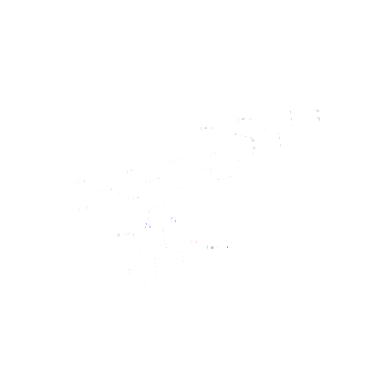 CCCCCCCCC1(CCCCCCCC)c2cc(-c3ccccc3)ccc2-c2ccc(-c3ccc4c5ccc(-c6ccccc6)cc5c5c(nc(-c6c(OCCCCCC)ccc7ccccc67)n5CCCCCC)c4c3)cc21